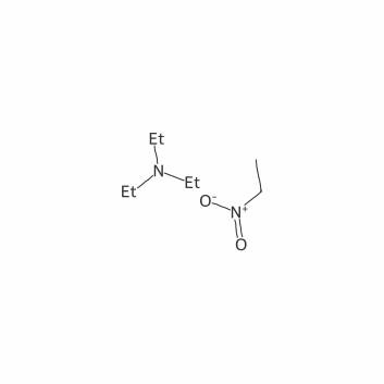 CCN(CC)CC.CC[N+](=O)[O-]